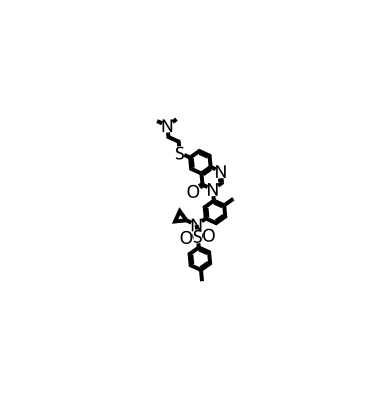 Cc1ccc(S(=O)(=O)N(c2ccc(C)c(-n3cnc4ccc(SCCN(C)C)cc4c3=O)c2)C2CC2)cc1